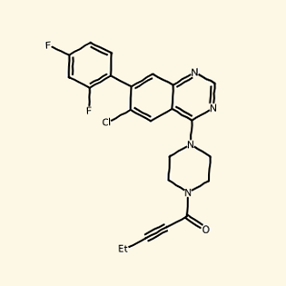 CCC#CC(=O)N1CCN(c2ncnc3cc(-c4ccc(F)cc4F)c(Cl)cc23)CC1